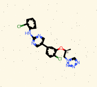 C[C@@H](Cn1cnnn1)Oc1cc(-c2cnc(Nc3ccccc3Cl)nc2)ccc1Cl